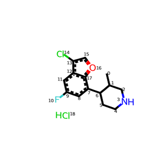 CC1CNCCC1c1cc(F)cc2c(Cl)coc12.Cl